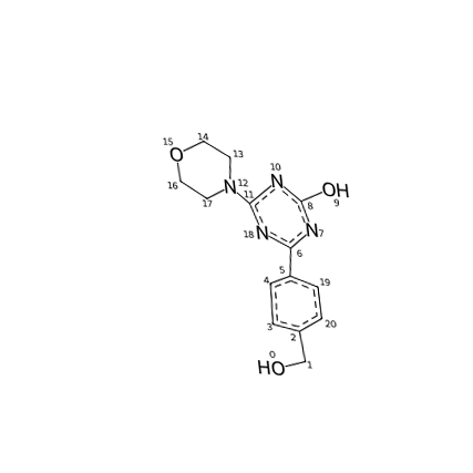 OCc1ccc(-c2nc(O)nc(N3CCOCC3)n2)cc1